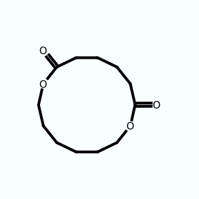 O=C1CCCCC(=O)OCCCCCCO1